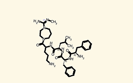 C/N=C(/N)N1CCCN(C(=O)C(CCCN)NC(=O)[C@@H](CC(C)C)NC(=O)[C@@H](Cc2ccccc2)NC(=O)[C@H](N)Cc2ccccc2)CC1